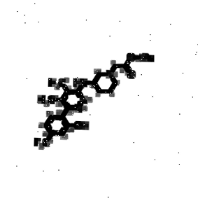 Cc1c(N[C@@H]2CCCN(CC(=O)OC(C)(C)C)C2)nnc(-c2ccc(C(F)(F)F)cc2O)c1C